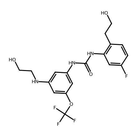 O=C(Nc1cc(NCCO)cc(OC(F)(F)F)c1)Nc1cc(F)ccc1CCO